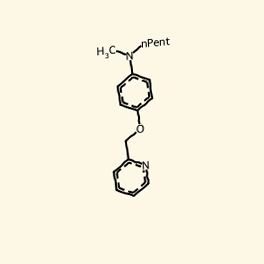 CCCCCN(C)c1ccc(OCc2ccccn2)cc1